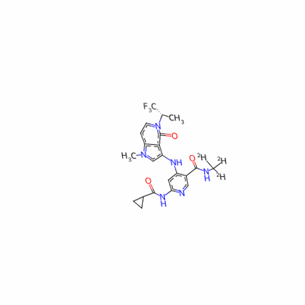 [2H]C([2H])([2H])NC(=O)c1cnc(NC(=O)C2CC2)cc1Nc1cn(C)c2ccn([C@@H](C)C(F)(F)F)c(=O)c12